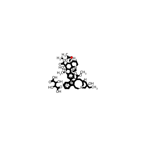 CC[C@]1(O)C[C@@H]2C[N@@](CCc3c([nH]c4ccccc34)[C@@](C(=O)OC)(c3cc4c(cc3OC)N(C)[C@H]3[C@@](O)(C(=O)OC)[C@H](OC(C)=O)[C@]5(CC)C=CCN6CC[C@]43[C@@H]65)C2)C1.O=C(O)C(O)C(O)C(=O)O